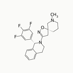 CN1CCC[C@@]2(CC(N3CCc4ccccc4[C@@H]3c3cc(F)c(F)c(F)c3)=NO2)C1